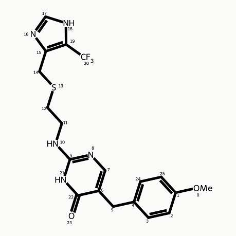 COc1ccc(Cc2cnc(NCCSCc3nc[nH]c3C(F)(F)F)[nH]c2=O)cc1